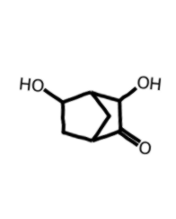 O=C1C2CC(O)C(C2)C1O